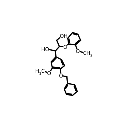 COc1cc(C(O)C(CO)Oc2ccccc2OC)ccc1OCc1ccccc1